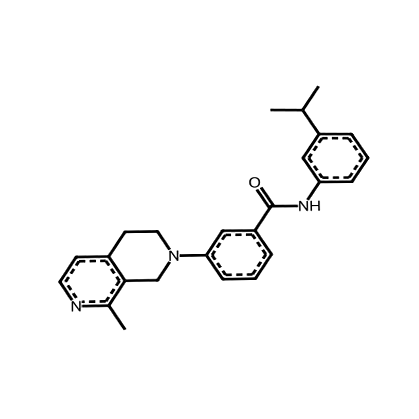 Cc1nccc2c1CN(c1cccc(C(=O)Nc3cccc(C(C)C)c3)c1)CC2